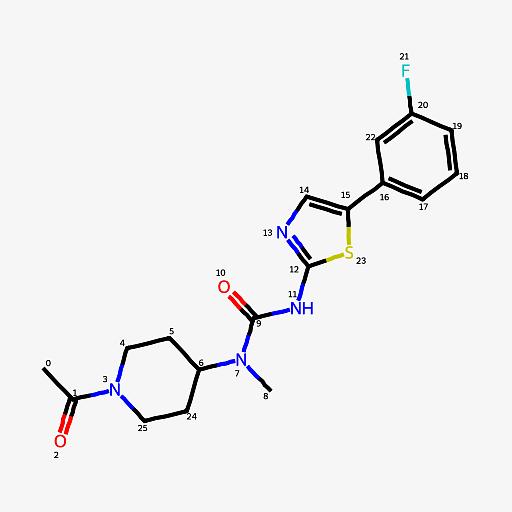 CC(=O)N1CCC(N(C)C(=O)Nc2ncc(-c3cccc(F)c3)s2)CC1